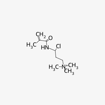 C=C(C)C(=O)NC(Cl)CC[N+](C)(C)C